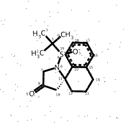 CC(C)(C)[S+]([O-])N1CC(=O)C[C@]12CCCc1ccccc12